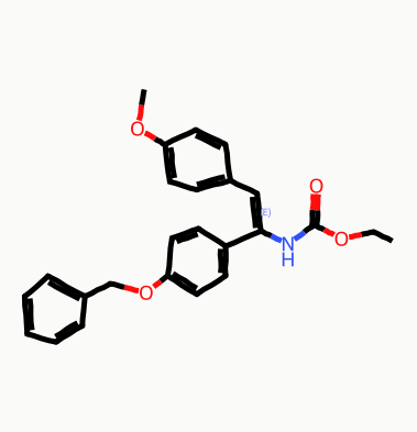 CCOC(=O)N/C(=C/c1ccc(OC)cc1)c1ccc(OCc2ccccc2)cc1